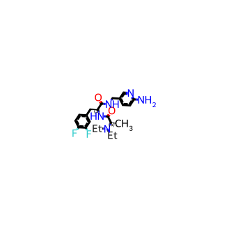 CCN(CC)[C@@H](C)C(=O)N[C@@H](Cc1ccc(F)c(F)c1)C(=O)NCc1ccc(N)nc1